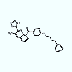 Nc1cc2cccc(C(=O)c3ccc(OCCCCc4ccccc4)cc3)c2nc1-c1nnn[nH]1